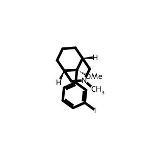 CO[C@@]1(c2cccc(I)c2)[C@@H]2CCC[C@H]1CN(C)C2